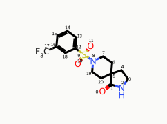 O=C1NCCC12CCN(S(=O)(=O)c1cccc(C(F)(F)F)c1)CC2